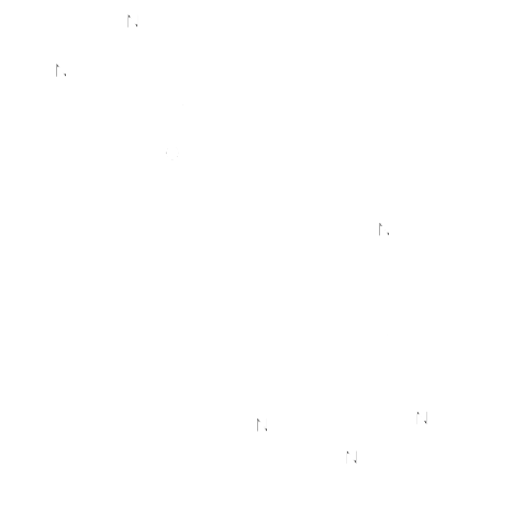 Cc1cccc(-c2nc3ccccn3c2-c2ccnc(-c3ccc(OCc4cn(C)cn4)cc3)c2)n1